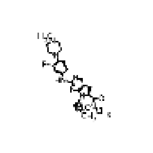 C[C@@H]1C2CC1(n1c(C(=O)N(C)C)cc3cnc(Nc4ccc(N5CCN(C)CC5)c(F)c4)nc31)C2